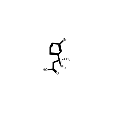 C[C@](N)(CC(=O)O)c1cccc(Br)c1